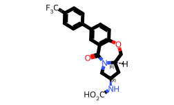 O=C(O)N[C@@H]1C[C@@H]2COc3ccc(-c4ccc(C(F)(F)F)cc4)cc3C(=O)N2C1